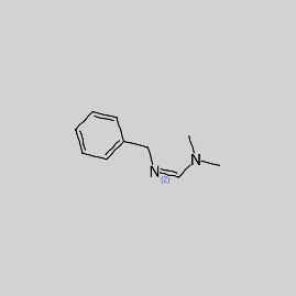 CN(C)/C=N\Cc1ccccc1